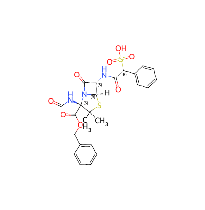 CC1(C)S[C@@H]2[C@@H](NC(=O)[C@@H](c3ccccc3)S(=O)(=O)O)C(=O)N2[C@@]1(NC=O)C(=O)OCc1ccccc1